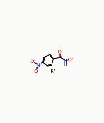 O=C(N[O-])c1ccc([N+](=O)[O-])cc1.[K+]